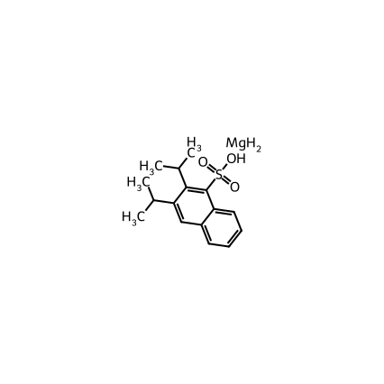 CC(C)c1cc2ccccc2c(S(=O)(=O)O)c1C(C)C.[MgH2]